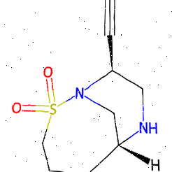 C#C[C@H]1CN[C@@H]2CCCS(=O)(=O)N1C2